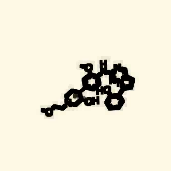 COCCN1CC[C@@H](c2ccc(Nc3ncc4ccc(-c5ccccc5O)n4n3)c(OC)c2)[C@@H](O)C1